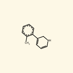 Cc1ccccc1C1=CC=CNC1